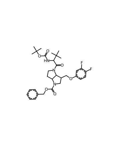 CC(C)(C)OC(=O)NC(C(=O)N1CCC2C1C(COc1ccc(F)c(F)c1)CN2C(=O)OCc1ccccc1)C(C)(C)C